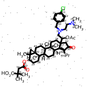 CC(=O)OC(CN(CCN(C)C)Cc1ccc(Cl)cc1)C12CC[C@]3(C)[C@H](CC[C@@H]4[C@@]5(C)CC[C@H](OC(=O)CC(C)(C)C(=O)O)C6(C)C[C@]65CC[C@]43C)C1=C(C(C)C)C(=O)C2